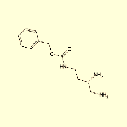 NC[C@@H](N)CCNC(=O)OCc1ccccc1